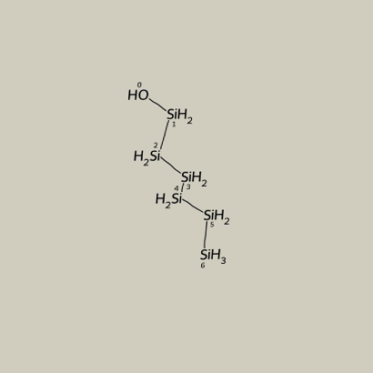 O[SiH2][SiH2][SiH2][SiH2][SiH2][SiH3]